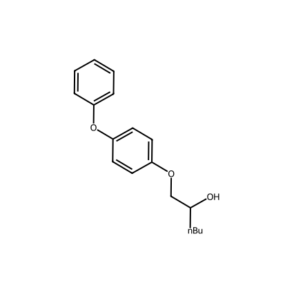 CCCCC(O)COc1ccc(Oc2ccccc2)cc1